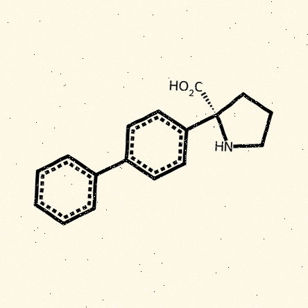 O=C(O)[C@]1(c2ccc(-c3ccccc3)cc2)CCCN1